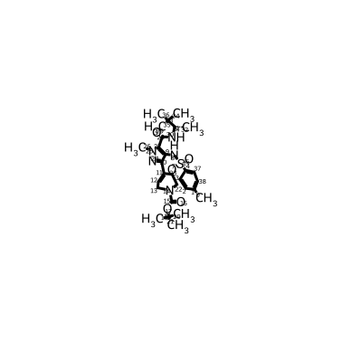 Cc1ccc(S(=O)(=O)Nc2c(C3=CCN(C(=O)OC(C)(C)C)CC3)nn(C)c2C(=O)N[C@@H](C)C(C)(C)C)cc1